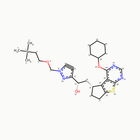 C[Si](C)(C)CCOCn1c#cc([C@@H](O)C[C@H]2CCc3sc4ncnc(OC5CCCCC5)c4c32)n1